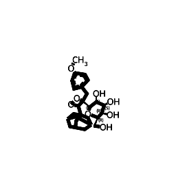 COc1ccc(CC2([C@@H]3O[C@H](CO)[C@H](O)[C@H](O)[C@H]3O)OOC2C23CC4CC(CC(C4)C2)C3)cc1